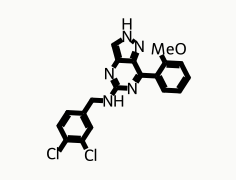 COc1ccccc1-c1nc(NCc2ccc(Cl)c(Cl)c2)nc2c[nH]nc12